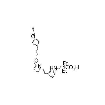 C#CCOc1ccc(CCCCOCc2cccc(C=Cc3cccc(NCCC(CC)(CC)C(=O)O)c3)n2)cc1